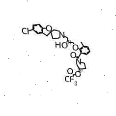 Cc1cccc(C(=O)N2CC[C@H](OC(=O)C(F)(F)F)C2)c1OC[C@@H](O)CN1CCC2(CC1)Cc1cc(Cl)ccc1O2